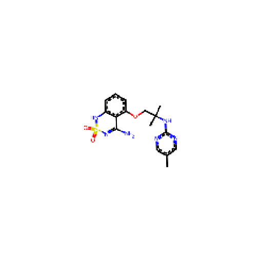 Cc1cnc(NC(C)(C)COc2cccc3c2C(N)=NS(=O)(=O)N3)nc1